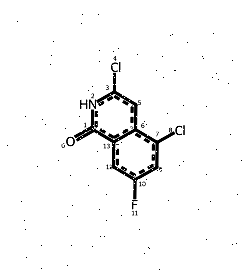 O=c1[nH]c(Cl)cc2c(Cl)cc(F)cc12